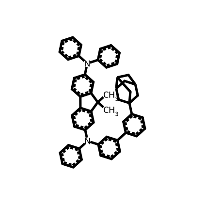 CC1(C)c2cc(N(c3ccccc3)c3ccccc3)ccc2-c2ccc(N(c3ccccc3)c3cccc(-c4cccc(C56CC7CC(C5)C(C7)C6)c4)c3)cc21